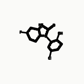 O=c1[nH]c2cc(F)ccc2n1-c1cc(Cl)ccc1O